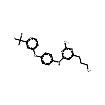 Nc1nc(CCCO)cc(Nc2ccc(Oc3ccnc(C(F)(F)F)c3)cc2)n1